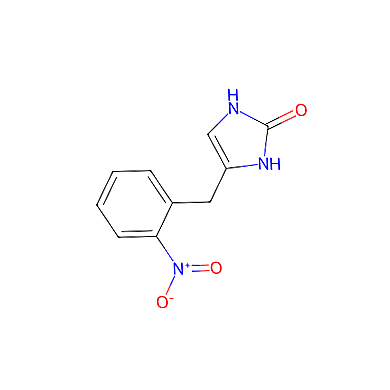 O=c1[nH]cc(Cc2ccccc2[N+](=O)[O-])[nH]1